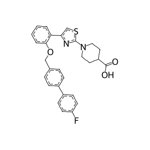 O=C(O)C1CCN(c2nc(-c3ccccc3OCc3ccc(-c4ccc(F)cc4)cc3)cs2)CC1